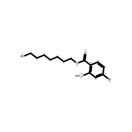 CC(C)CCCCCCCOC(=O)c1ccc(Br)cc1C(=O)O